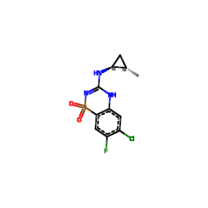 C[C@H]1C[C@@H]1NC1=NS(=O)(=O)c2cc(F)c(Cl)cc2N1